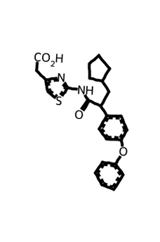 O=C(O)Cc1csc(NC(=O)C(CC2CCCC2)c2ccc(Oc3ccccc3)cc2)n1